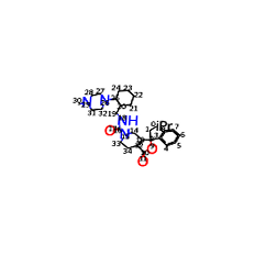 CC(C)CC1(c2ccccc2)OC(=O)C2=C1CN(C(=O)NCC1CCCCC1N1CCN(C)CC1)CC2